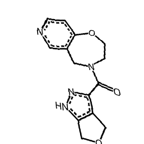 O=C(c1n[nH]c2c1COC2)N1CCOc2ccncc2C1